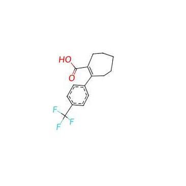 O=C(O)C1=C(c2ccc(C(F)(F)F)cc2)CCCCC1